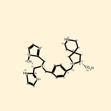 Cn1ccnc1CN(Cc1ccc(CN2CC3(CCNCC3)C[C@@H]2C(=O)O)cc1)Cc1ncc[nH]1